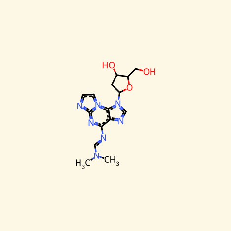 CN(C)C=Nc1nc2nccn2c2c1ncn2C1CC(O)C(CO)O1